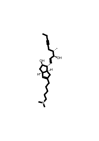 CCC#CC[C@H](C)[C@@H](O)/C=C/[C@@H]1[C@H]2CC(CCCCCN(C)C)=C[C@H]2C[C@H]1O